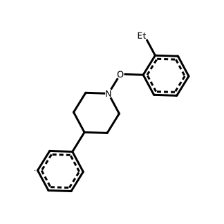 CCc1ccccc1ON1CCC(c2c[c]ccc2)CC1